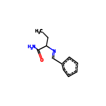 CCC(N=Cc1ccccc1)C(N)=O